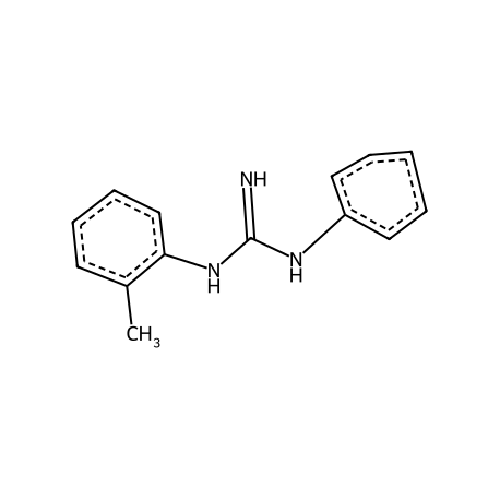 Cc1ccccc1NC(=N)Nc1ccccc1